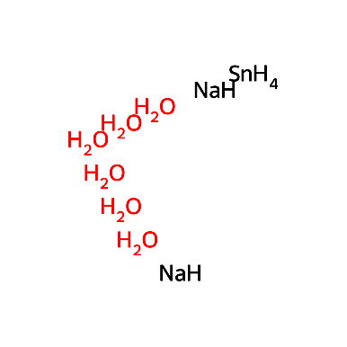 O.O.O.O.O.O.[NaH].[NaH].[SnH4]